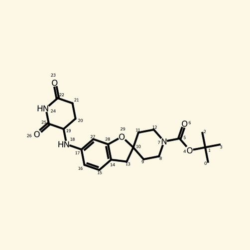 CC(C)(C)OC(=O)N1CCC2(CC1)Cc1ccc(NC3CCC(=O)NC3=O)cc1O2